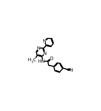 Cc1cnc(-c2ccccn2)nc1NC(=O)Cc1ccc(C#N)cc1